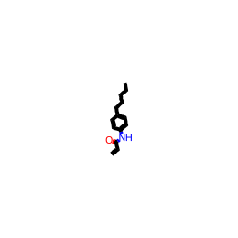 C=CC(=O)Nc1ccc(CCCCC)cc1